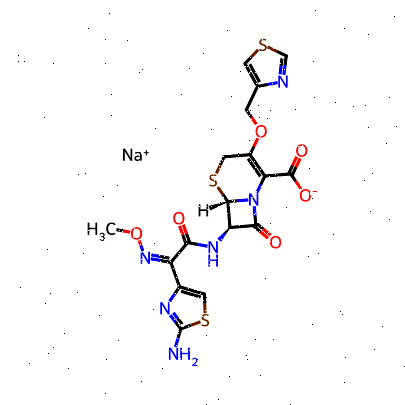 CO/N=C(\C(=O)N[C@@H]1C(=O)N2C(C(=O)[O-])=C(OCc3cscn3)CS[C@@H]12)c1csc(N)n1.[Na+]